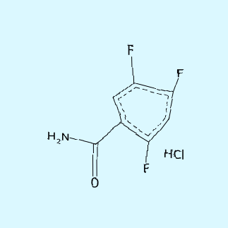 Cl.NC(=O)c1cc(F)c(F)cc1F